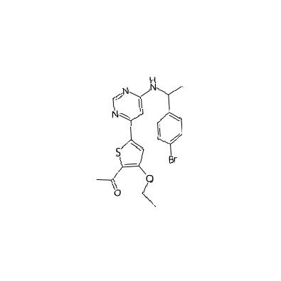 CCOc1cc(-c2cc(NC(C)c3ccc(Br)cc3)ncn2)sc1C(C)=O